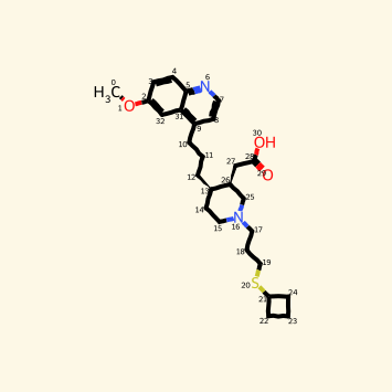 COc1ccc2nccc(CCC[C@@H]3CCN(CCCSC4CCC4)C[C@@H]3CC(=O)O)c2c1